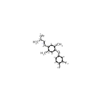 CCCN(C)/C=N/c1cc(C)c(Oc2ccc(F)c(F)c2)cc1C